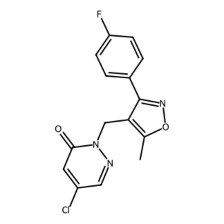 Cc1onc(-c2ccc(F)cc2)c1Cn1ncc(Cl)cc1=O